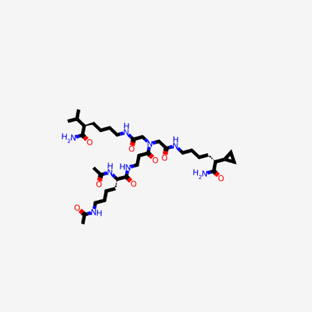 CC(=O)NCCCC[C@H](NC(C)=O)C(=O)NCCC(=O)N(CC(=O)NCCCC[C@@H](C(N)=O)C(C)C)CC(=O)NCCCC[C@@H](C(N)=O)C1CC1